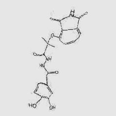 CC(C)(Oc1cccc2c1C(=O)NC2=O)C(=O)NNC(=O)c1ccc(O)c(O)c1